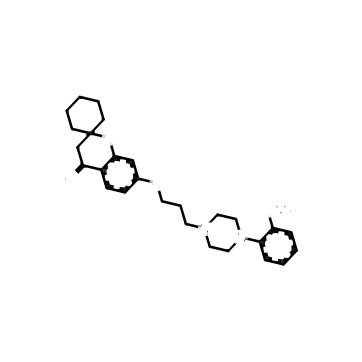 COc1ccccc1N1CCN(CCCOc2ccc3c(c2)OC2(CCCCC2)CC3=O)CC1